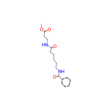 COC(=O)CCNC(=O)CCCCCNC(=O)c1ccccc1